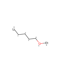 [Li][CH2]CCCOCC